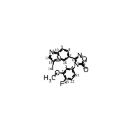 COc1cc(-n2c(-c3ccc4ncc(I)n4c3)noc2=O)ccc1F